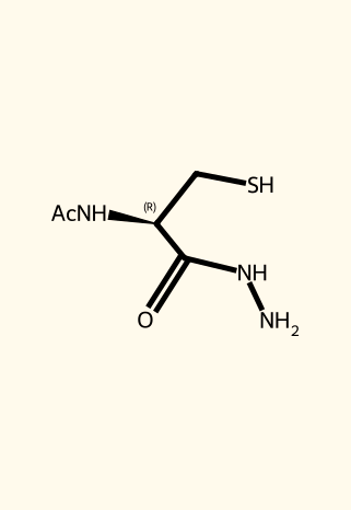 CC(=O)N[C@@H](CS)C(=O)NN